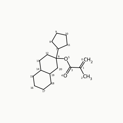 C=C(C)C(=O)OC1(C2CCCC2)CCC2CCCCC2C1